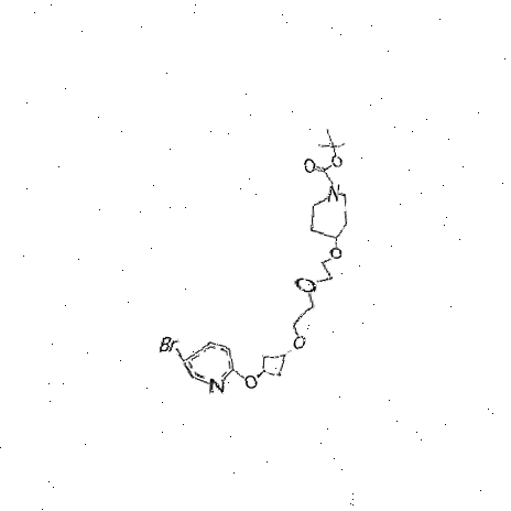 CC(C)(C)OC(=O)N1CCC(OCCOCCO[C@H]2C[C@H](Oc3ccc(Br)cn3)C2)CC1